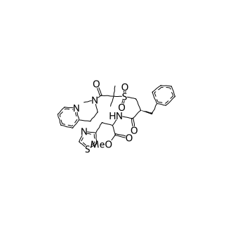 COC(=O)C(Cc1cscn1)NC(=O)[C@H](Cc1ccccc1)CS(=O)(=O)C(C)(C)C(=O)N(C)CCc1ccccn1